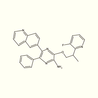 CC(COc1nc(-c2ccc3ncccc3c2)c(-c2ccccc2)nc1N)c1ncccc1F